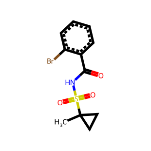 CC1(S(=O)(=O)NC(=O)c2ccccc2Br)CC1